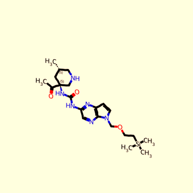 CC(=O)[C@@]1(NC(=O)Nc2cnc3c(ccn3COCC[Si](C)(C)C)n2)CNC[C@@H](C)C1